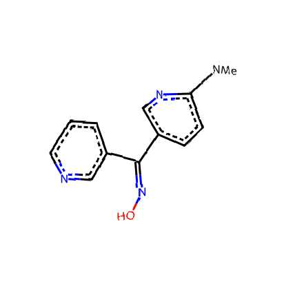 CNc1ccc(C(=NO)c2cccnc2)cn1